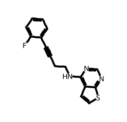 Fc1ccccc1C#CCCNc1ncnc2sccc12